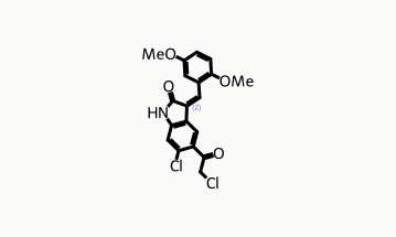 COc1ccc(OC)c(/C=C2\C(=O)Nc3cc(Cl)c(C(=O)CCl)cc32)c1